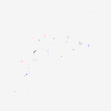 O=C(NC[C@H](NC(=O)c1c(Cl)ccc(-n2cc(-c3ccccc3)cn2)c1Cl)C(=O)O)N[C@@H]1CCc2ccccc21